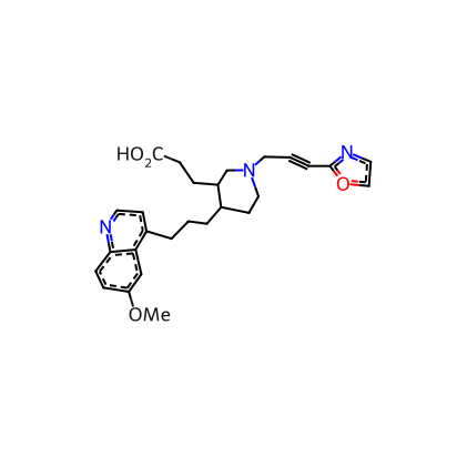 COc1ccc2nccc(CCCC3CCN(CC#Cc4ncco4)CC3CCC(=O)O)c2c1